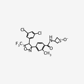 Cc1cc(C2=NO[C@H](C(F)(F)F)C2c2cc(Cl)cc(Cl)c2)ccc1C(=O)NC1C[S+]([O-])C1